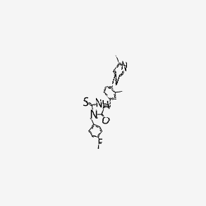 Cc1cn(-c2ccc(/C=C3\NC(=S)N(Cc4ccc(F)cc4)C3=O)cc2C)cn1